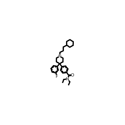 CCN(CC)C(=O)c1ccc(C2(c3cccc(F)c3)CCN(CCCC3CCCCC3)CC2)cc1